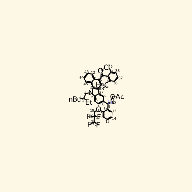 CCCCC(CC)Cn1c2ccc(/C(=N\OC(C)=O)c3ccccc3OCC(F)(F)C(F)F)cc2c2cc(C(=O)c3c(C)cccc3Cl)c3ccccc3c21